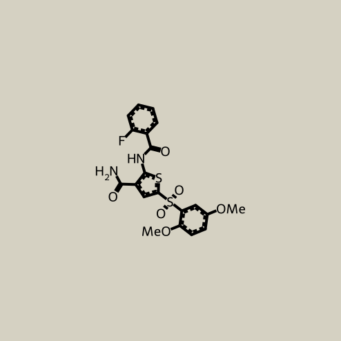 COc1ccc(OC)c(S(=O)(=O)c2cc(C(N)=O)c(NC(=O)c3ccccc3F)s2)c1